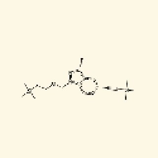 C[Si](C)(C)C#Cc1ccc2c(c1)c(F)nn2COCC[Si](C)(C)C